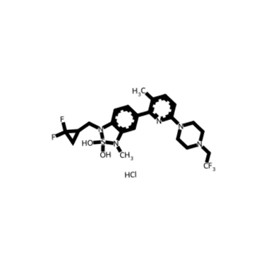 Cc1ccc(N2CCN(CC(F)(F)F)CC2)nc1-c1ccc2c(c1)N(C)S(O)(O)N2CC1CC1(F)F.Cl